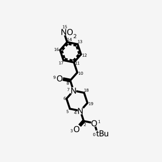 CC(C)(C)OC(=O)N1CCN(C(=O)Cc2ccc([N+](=O)[O-])cc2)CC1